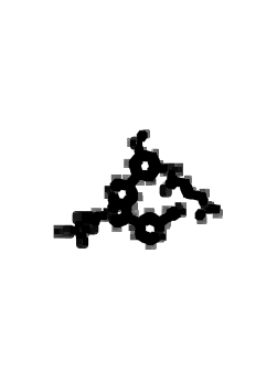 COc1cc(NC(=O)C=CCN(C)C)cc(-c2cnc3c(c2)c(-c2ccnc(C#N)c2)cn3COP(=O)(O)O)c1